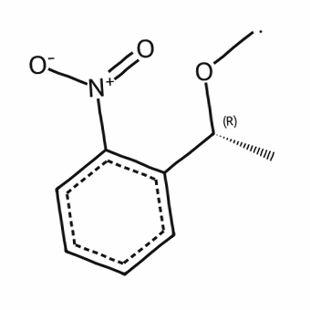 [CH2]O[C@H](C)c1ccccc1[N+](=O)[O-]